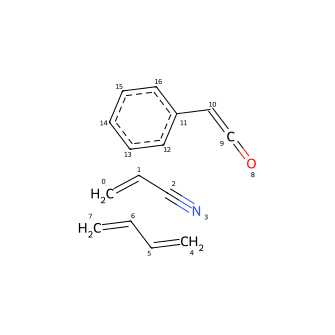 C=CC#N.C=CC=C.O=C=Cc1ccccc1